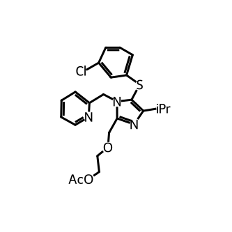 CC(=O)OCCOCc1nc(C(C)C)c(Sc2cccc(Cl)c2)n1Cc1ccccn1